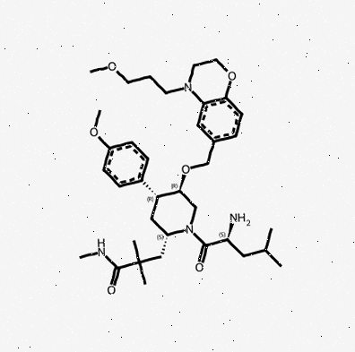 CNC(=O)C(C)(C)C[C@@H]1C[C@H](c2ccc(OC)cc2)[C@@H](OCc2ccc3c(c2)N(CCCOC)CCO3)CN1C(=O)[C@@H](N)CC(C)C